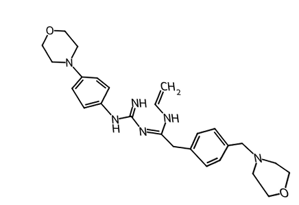 C=CN/C(Cc1ccc(CN2CCOCC2)cc1)=N\C(=N)Nc1ccc(N2CCOCC2)cc1